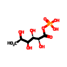 O=C(O)[C@@H](O)[C@H](O)[C@H](O)[C@@H](O)C(=O)OP(=O)(O)O